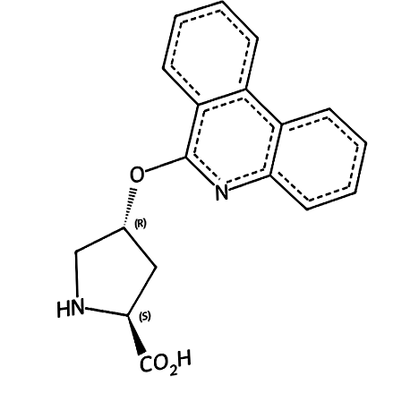 O=C(O)[C@@H]1C[C@@H](Oc2nc3ccccc3c3ccccc23)CN1